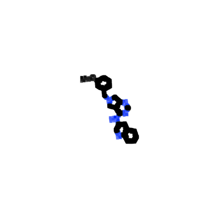 COc1cccc(CN2Cc3ncnc(Nc4cnc5ccccc5c4)c3C2)c1